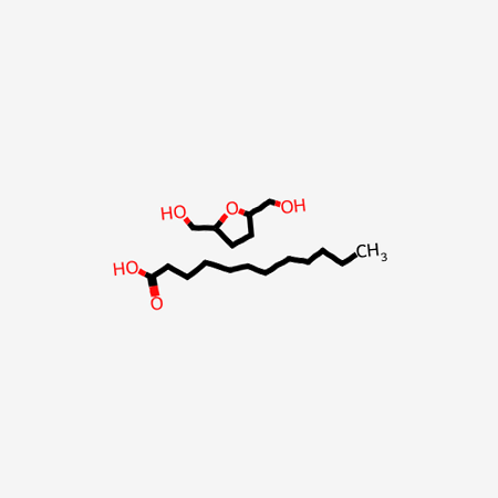 CCCCCCCCCCCC(=O)O.OCC1CCC(CO)O1